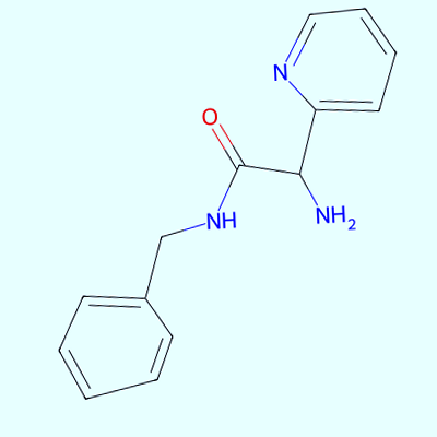 NC(C(=O)NCc1ccccc1)c1ccccn1